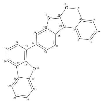 c1ccc2c(c1)COc1nc3cc(-c4cccc5c4oc4ccccc45)ccc3n1-2